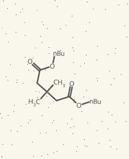 CCCCOC(=O)CC(C)(C)CC(=O)OCCCC